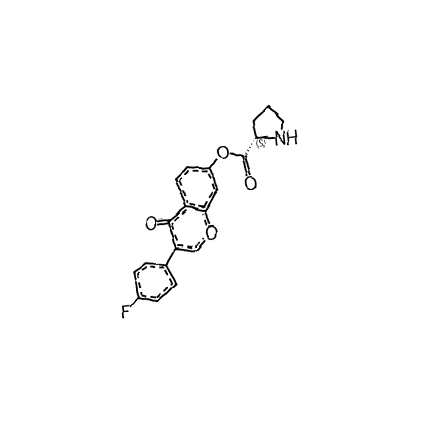 O=C(Oc1ccc2c(=O)c(-c3ccc(F)cc3)coc2c1)[C@@H]1CCCN1